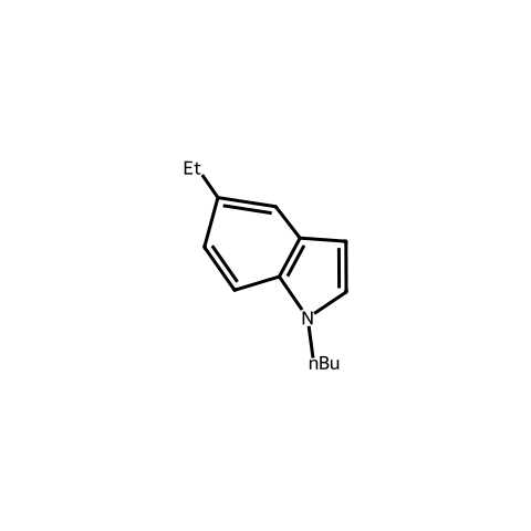 CCCCn1ccc2cc(CC)ccc21